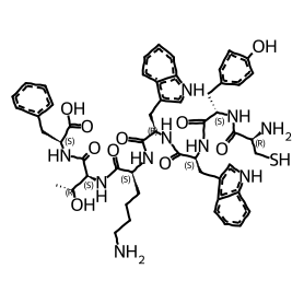 C[C@@H](O)[C@H](NC(=O)[C@H](CCCCN)NC(=O)[C@@H](Cc1c[nH]c2ccccc12)NC(=O)[C@H](Cc1c[nH]c2ccccc12)NC(=O)[C@H](Cc1ccc(O)cc1)NC(=O)[C@@H](N)CS)C(=O)N[C@@H](Cc1ccccc1)C(=O)O